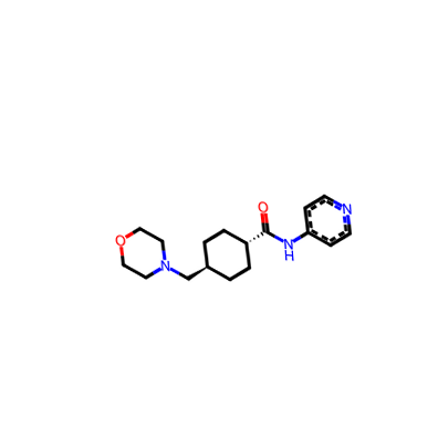 O=C(Nc1ccncc1)[C@H]1CC[C@H](CN2CCOCC2)CC1